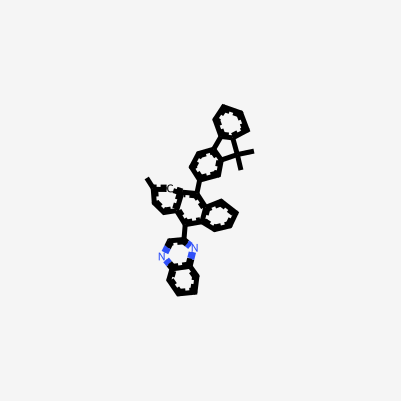 Cc1ccc2c(-c3cnc4ccccc4n3)c3ccccc3c(-c3ccc4c(c3)C(C)(C)c3ccccc3-4)c2c1